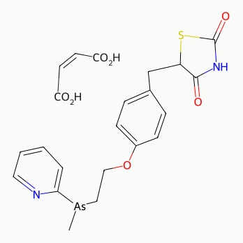 C[As](CCOc1ccc(CC2SC(=O)NC2=O)cc1)c1ccccn1.O=C(O)/C=C\C(=O)O